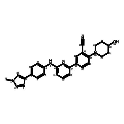 Cn1nnc(-c2ccc(Nc3nccc(-c4ccc(N5CCC(O)CC5)c(C#N)c4)n3)cc2)n1